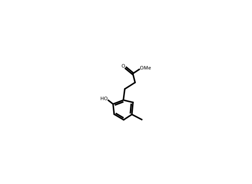 COC(=O)CCc1cc(C)ccc1O